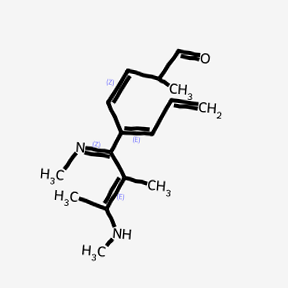 C=C/C=C(\C=C/C(C)C=O)C(=N/C)/C(C)=C(\C)NC